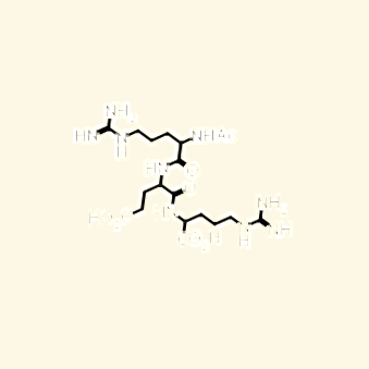 CC(=O)NC(CCCNC(=N)N)C(=O)NC(CCC(=O)O)C(=O)NC(CCCNC(=N)N)C(=O)O